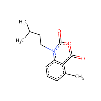 Cc1cccc2c1c(=O)oc(=O)n2CCC(C)C